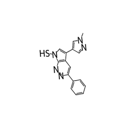 Cn1cc(-c2cn(S)c3nnc(-c4ccccc4)cc23)cn1